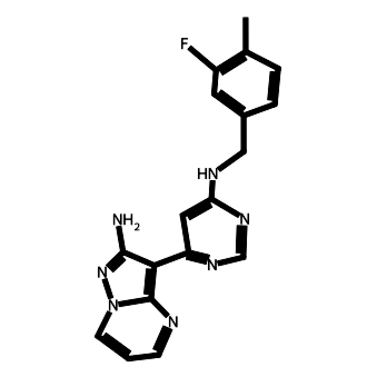 Cc1ccc(CNc2cc(-c3c(N)nn4cccnc34)ncn2)cc1F